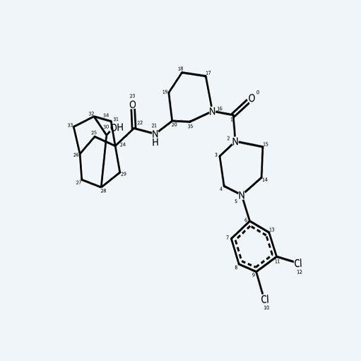 O=C(N1CCN(c2ccc(Cl)c(Cl)c2)CC1)N1CCCC(NC(=O)C23CC4CC(C2)C(O)C(C4)C3)C1